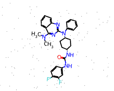 CN(C)c1nc(N(c2ccccc2)[C@H]2CC[C@@H](NC(=O)Nc3ccc(F)c(F)c3)CC2)nc2ccccc12